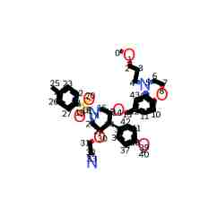 COCCCN1CCOc2ccc(CO[C@H]3CN(S(=O)(=O)c4ccc(C)cc4)C[C@@H](OCC#N)[C@@H]3c3ccc(OC)cc3)cc21